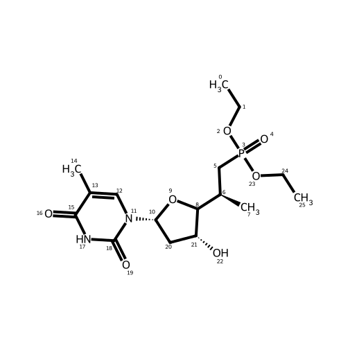 CCOP(=O)(C[C@@H](C)C1O[C@@H](n2cc(C)c(=O)[nH]c2=O)C[C@H]1O)OCC